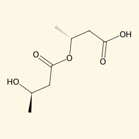 C[C@H](CC(=O)O)OC(=O)C[C@@H](C)O